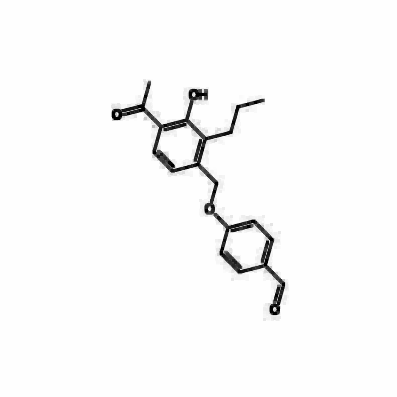 CCCc1c(COc2ccc(C=O)cc2)ccc(C(C)=O)c1O